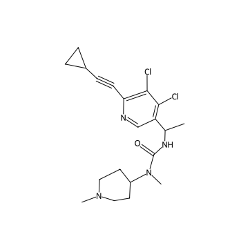 CC(NC(=O)N(C)C1CCN(C)CC1)c1cnc(C#CC2CC2)c(Cl)c1Cl